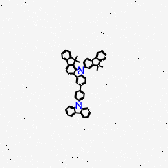 CC1(C)c2ccccc2-c2ccc(-n3c4ccc(-c5ccc(-n6c7ccccc7c7ccccc76)cc5)cc4c4ccc5c(c43)C(C)(C)c3ccccc3-5)cc21